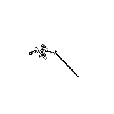 CC#CC#CC#CC#CC#CC#CC#CC#CC#CC#CC(=S)NCCCC/C=C/C[C@H]1C(OP(=O)(O)OC)[C@@H](COC(=O)OCc2ccccc2)O[C@H]1n1ccc(=O)[nH]c1=O